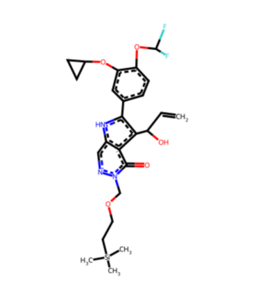 C=CC(O)c1c(-c2ccc(OC(F)F)c(OC3CC3)c2)[nH]c2cnn(COCC[Si](C)(C)C)c(=O)c12